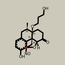 C[C@@H]1Cc2ccc(O)c3c2[C@@]2(CCN=O)[C@@H](O3)C(=O)CC[C@@]12OCCCO